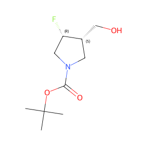 CC(C)(C)OC(=O)N1C[C@@H](CO)[C@@H](F)C1